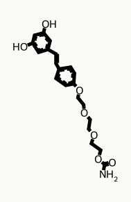 NC(=O)OCCOCCOCCOc1ccc(C=Cc2cc(O)cc(O)c2)cc1